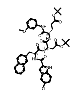 COc1cccc(NC(=O)[C@H](CCC(=O)OC(C)(C)C)NC(=O)[C@@H](CC(=O)OC(C)(C)C)NC(=O)[C@H](Cc2ccc3ccccc3c2)NC(=O)c2cc3cc(Cl)ccc3[nH]2)c1